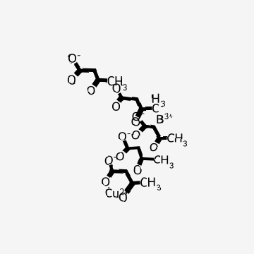 CC(=O)CC(=O)[O-].CC(=O)CC(=O)[O-].CC(=O)CC(=O)[O-].CC(=O)CC(=O)[O-].CC(=O)CC(=O)[O-].[B+3].[Cu+2]